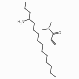 C=CC(=O)N(C)C.CCCCCCCCCCCC(N)CCC